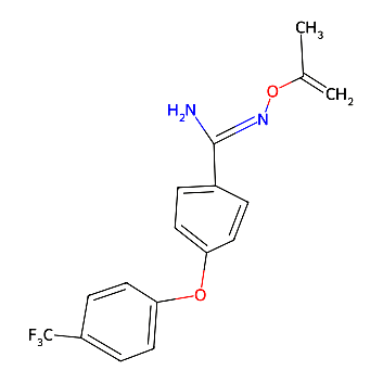 C=C(C)O/N=C(\N)c1ccc(Oc2ccc(C(F)(F)F)cc2)cc1